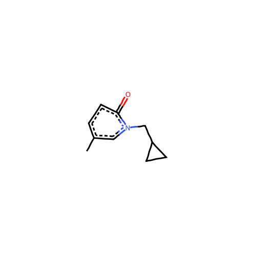 Cc1ccc(=O)n(CC2CC2)c1